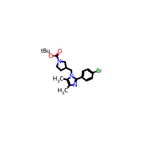 Cc1nc(-c2ccc(Br)cc2)n(CC2CCN(C(=O)OC(C)(C)C)C2)c1C